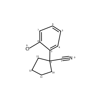 N#CC1(c2ccccc2Cl)CCCC1